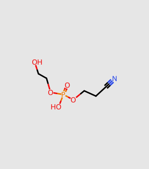 N#CCCOP(=O)(O)OCCO